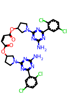 Nc1nc(-c2cc(Cl)ccc2Cl)nc(N2CCC(OC(=O)/C=C\C(=O)OC3CCN(c4nc(N)nc(-c5cc(Cl)ccc5Cl)n4)C3)C2)n1